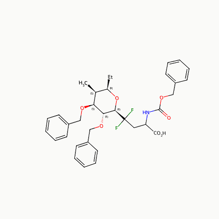 CC[C@H]1O[C@@H](C(F)(F)CC(NC(=O)OCc2ccccc2)C(=O)O)[C@H](OCc2ccccc2)[C@@H](OCc2ccccc2)[C@H]1C